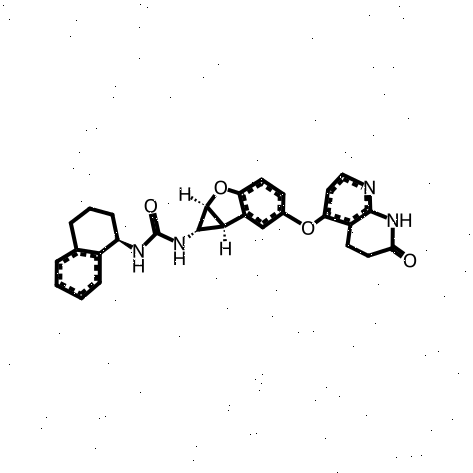 O=C1CCc2c(Oc3ccc4c(c3)[C@H]3[C@H](NC(=O)N[C@@H]5CCCc6ccccc65)[C@H]3O4)ccnc2N1